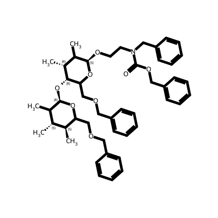 CC1[C@@H](O[C@H]2C(COCc3ccccc3)O[C@H](OCCN(Cc3ccccc3)C(=O)OCc3ccccc3)C(C)[C@H]2C)OC(COCc2ccccc2)[C@@H](C)[C@@H]1C